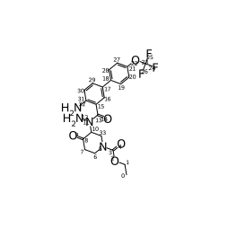 CCOC(=O)N1CCC(=O)C(N(N)C(=O)c2cc(-c3ccc(OC(F)(F)F)cc3)ccc2N)C1